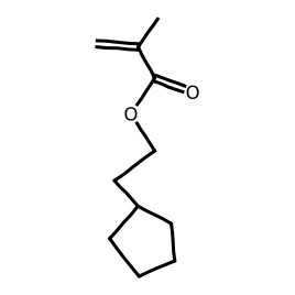 C=C(C)C(=O)OCCC1CCCC1